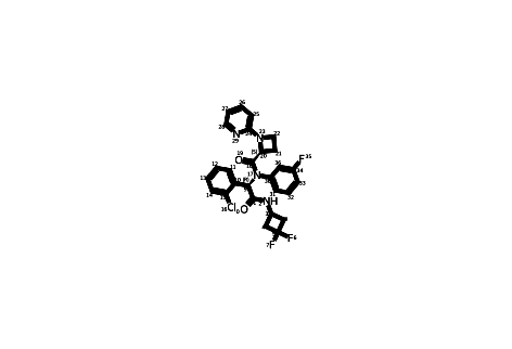 O=C(NC1CC(F)(F)C1)[C@@H](c1ccccc1Cl)N(C(=O)[C@@H]1CCN1c1ccccn1)c1cccc(F)c1